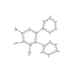 Fc1c(Cl)cc(-c2ccccc2)c(-c2ccccc2)c1Cl